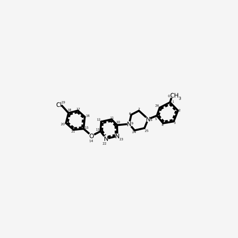 Cc1cccc(N2CCN(c3ccc(Oc4ccc(Cl)cc4)nn3)CC2)c1